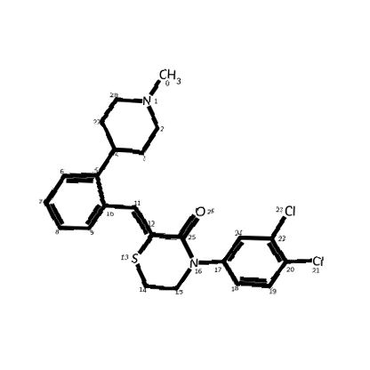 CN1CCC(c2ccccc2/C=C2\SCCN(c3ccc(Cl)c(Cl)c3)C2=O)CC1